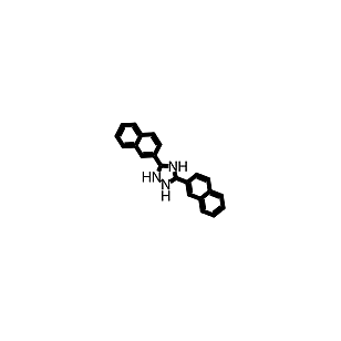 c1ccc2cc(C3NNC(c4ccc5ccccc5c4)N3)ccc2c1